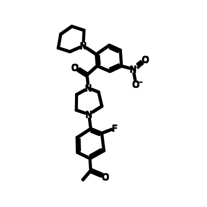 CC(=O)c1ccc(N2CCN(C(=O)c3cc([N+](=O)[O-])ccc3N3CCCCC3)CC2)c(F)c1